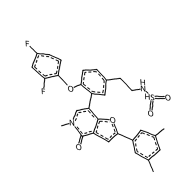 Cc1cc(C)cc(-c2cc3c(=O)n(C)cc(-c4cc(CCN[SH](=O)=O)ccc4Oc4ccc(F)cc4F)c3o2)c1